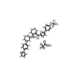 FC(F)(F)Oc1ccc(-c2cnc(N[C@@H]3CCCC[C@H]3N[C@H]3CCCN(c4ccc(-n5cccn5)cc4)C3)o2)cc1.O=C(O)C(F)(F)F